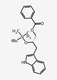 CC(C)(C)[Si](C)(C)O[C@H](COC(=O)c1ccccc1)Cc1c[nH]c2ccccc12